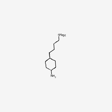 CCCCCCCCCCCC1CCC(N)CC1